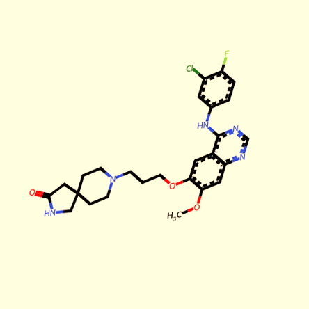 COc1cc2ncnc(Nc3ccc(F)c(Cl)c3)c2cc1OCCCN1CCC2(CC1)CNC(=O)C2